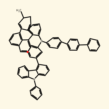 CC1C=C(c2cccc3cccc(-c4ccccc4N(c4ccc(-c5ccc(-c6ccccc6)cc5)cc4)c4cccc(-c5cccc6c5c5ccccc5n6-c5ccccc5)c4)c23)C=CC1